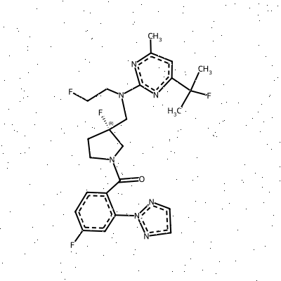 Cc1cc(C(C)(C)F)nc(N(CCF)C[C@]2(F)CCN(C(=O)c3ccc(F)cc3-n3nccn3)C2)n1